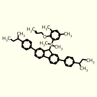 C=CCOc1c(C)cc(C)cc1[Si](C)(C)C1c2cc(-c3ccc(C(C)CC)cc3)ccc2-c2ccc(-c3ccc(C(C)CC)cc3)cc21